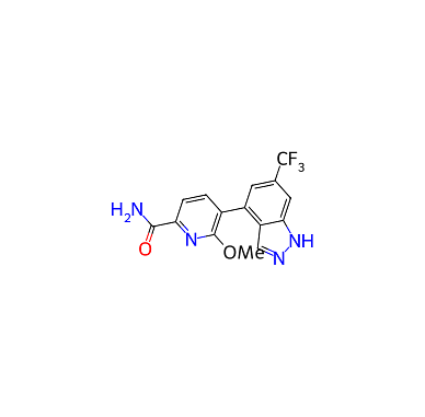 COc1nc(C(N)=O)ccc1-c1cc(C(F)(F)F)cc2[nH]ncc12